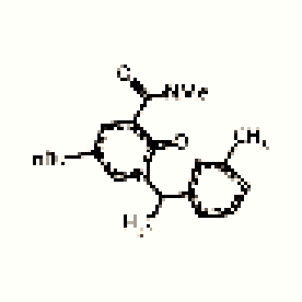 [CH2]CCCc1cc(C(=O)NC)c(=O)n(C(C)c2cccc(C)c2)c1